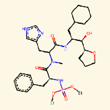 CCOP(=O)(N[C@@H](Cc1ccccc1)C(=O)N(C)C(Cc1c[nH]cn1)C(=O)N[C@@H](CC1CCCCC1)[C@@H](O)[C@@H]1CCCO1)OCC